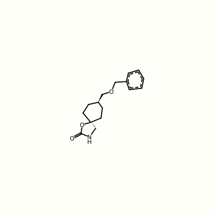 O=C1NC[C@]2(CC[C@H](COCc3ccccc3)CC2)O1